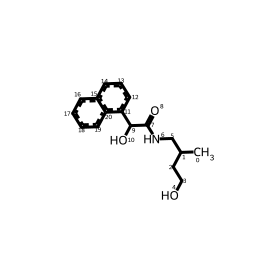 CC(CCO)CNC(=O)C(O)c1cccc2ccccc12